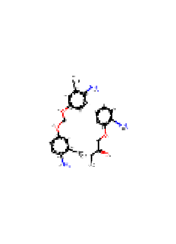 CC(=O)CC(=O)COc1ccccc1N.Nc1ccc(OCOc2ccc(N)c([N+](=O)[O-])c2)cc1[N+](=O)[O-]